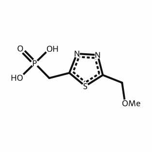 COCc1nnc(CP(=O)(O)O)s1